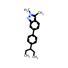 CCC(CC)c1ccc(-c2ccc3c(C)n(C)nc3c2)cc1